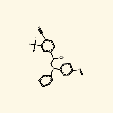 N#Cc1ccc(C(O)CN(c2ccccc2)c2ccc(N=O)cc2)cc1C(F)(F)F